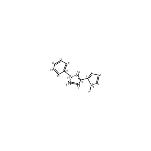 Cn1cccc1-c1nnn(-c2ccccc2)n1